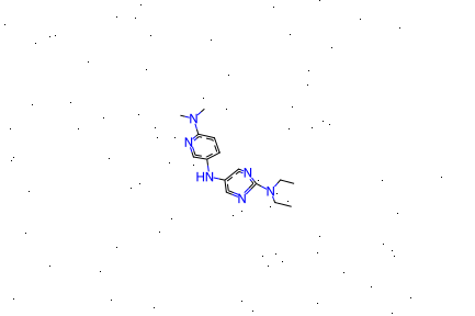 CCN(CC)c1ncc(Nc2ccc(N(C)C)nc2)cn1